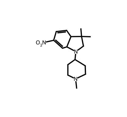 CN1CCC(N2CC(C)(C)C3C=CC([N+](=O)[O-])=CC32)CC1